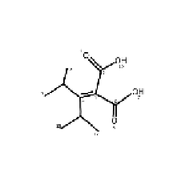 CC(C)C(=C(C(=O)O)C(=O)O)C(C)C